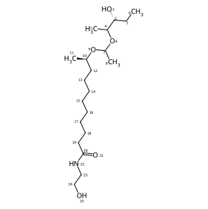 CC[C@@H](O)C(C)OC(C)O[C@H](C)CCCCCCCCC(=O)NCCO